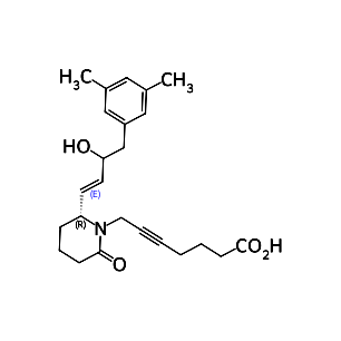 Cc1cc(C)cc(CC(O)/C=C/[C@H]2CCCC(=O)N2CC#CCCCC(=O)O)c1